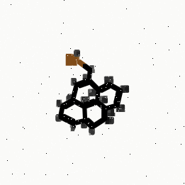 BrCc1cc2cccc3ccc4cccc1c4c32